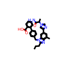 CCCc1nc2c(C)cc(-c3cn(C(C)C(N)=O)cn3)cc2n1Cc1ccc(-c2ccccc2C(=O)O)cc1